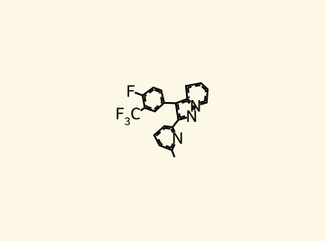 Cc1cccc(-c2nn3ccccc3c2-c2ccc(F)c(C(F)(F)F)c2)n1